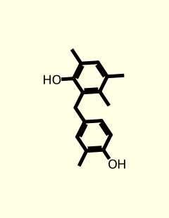 Cc1cc(Cc2c(C)c(C)cc(C)c2O)ccc1O